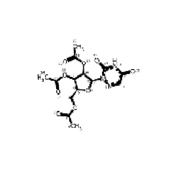 CC(=O)OC[C@@H]1O[C@H](n2ncc(=O)[nH]c2=O)C(OC(C)=O)C1OC(C)=O